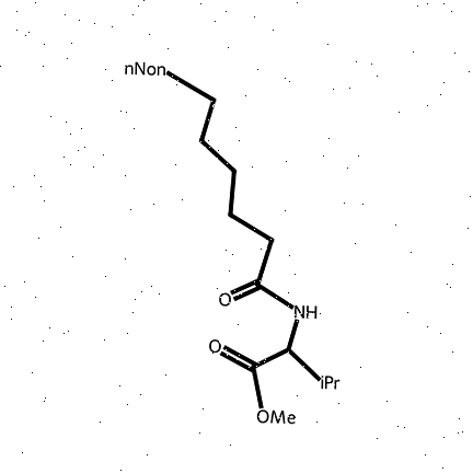 CCCCCCCCCCCCCCC(=O)NC(C(=O)OC)C(C)C